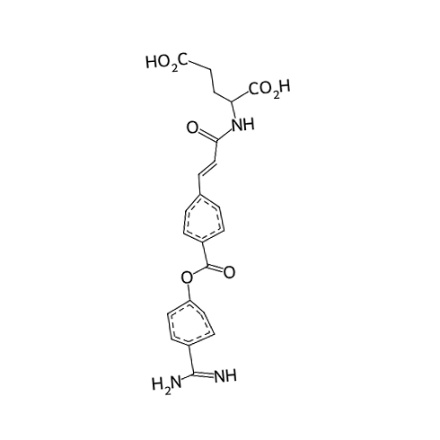 N=C(N)c1ccc(OC(=O)c2ccc(/C=C/C(=O)NC(CCC(=O)O)C(=O)O)cc2)cc1